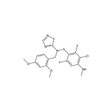 CNc1cc(F)c(SN(Cc2ccc(OC)cc2OC)c2ncns2)c(F)c1Cl